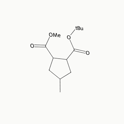 COC(=O)C1CC(C)CC1C(=O)OC(C)(C)C